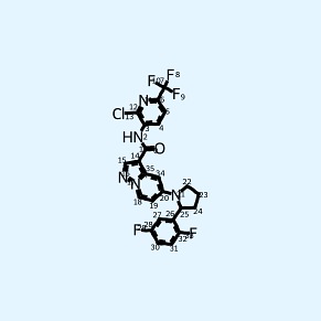 O=C(Nc1ccc(C(F)(F)F)nc1Cl)c1cnn2ccc(N3CCCC3c3cc(F)ccc3F)cc12